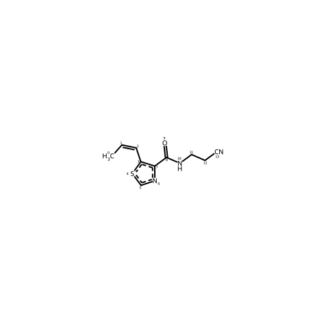 C/C=C\c1scnc1C(=O)NCCC#N